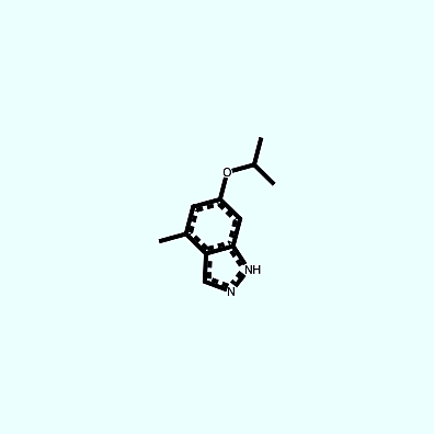 Cc1cc(OC(C)C)cc2[nH]ncc12